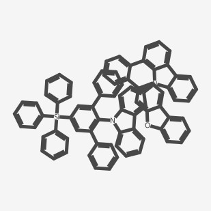 c1ccc(-c2cc([Si](c3ccccc3)(c3ccccc3)c3ccccc3)cc(-c3ccccc3)c2-n2c3ccccc3c3cc(-n4c5ccccc5c5cccc(-c6ccccc6-c6ccc7c(c6)oc6ccccc67)c54)ccc32)cc1